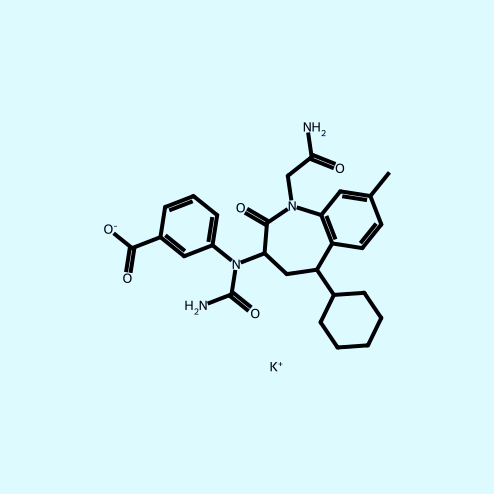 Cc1ccc2c(c1)N(CC(N)=O)C(=O)C(N(C(N)=O)c1cccc(C(=O)[O-])c1)CC2C1CCCCC1.[K+]